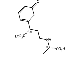 CCOC(=O)[C@@H](CCN[C@@H](C)C(=O)O)C1=CC=CC(=O)C1